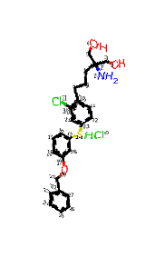 Cl.NC(CO)(CO)CCCc1ccc(Sc2cccc(OCc3ccccc3)c2)cc1Cl